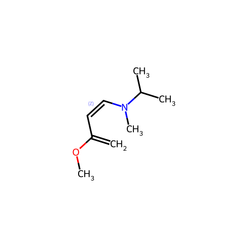 C=C(/C=C\N(C)C(C)C)OC